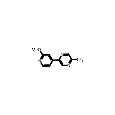 COc1cc(-c2cnc(C(F)(F)F)cn2)ccn1